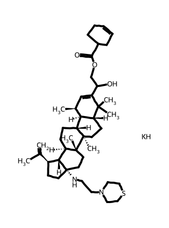 C=C(C)[C@@H]1CC[C@]2(NCCN3CCSCC3)CC[C@]3(C)[C@H](CC[C@@H]4[C@@H]5[C@@H](CC[C@]43C)C(C)(C)C(C(O)COC(=O)C3CC=CCC3)=C[C@@H]5C)[C@@H]12.[KH]